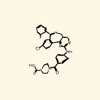 O=C(O)N1CCN(C(=O)c2ccc(Nc3ncc4c(n3)-c3ccc(Cl)cc3C(c3ccccc3F)=NC4)cc2)CC1